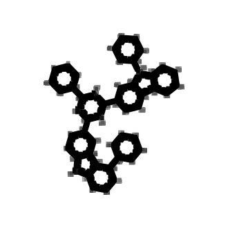 c1ccc(-c2nc(-c3ccc4oc5cccc(-c6ccccc6)c5c4c3)nc(-c3ccc4c5ccccc5n(-c5ccccc5)c4c3)n2)cc1